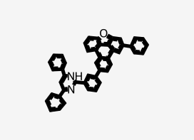 C1=C(c2ccccc2)NC(c2cccc(-c3ccc4c(c3)c3cccc5oc6cc(-c7ccccc7)cc4c6c53)c2)N=C1c1ccccc1